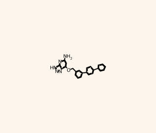 Nc1cc(OCc2cccc(-c3ccc(-c4ccccc4)cc3)c2)c2nn[nH]c2n1